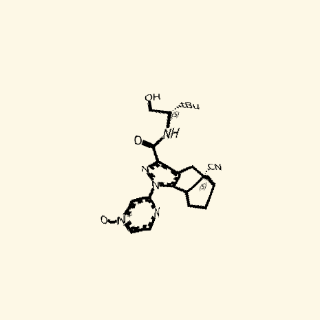 CC(C)(C)[C@@H](CO)NC(=O)c1nn(-c2c[n+]([O-])ccn2)c2c1C[C@@]1(C#N)CCCC21